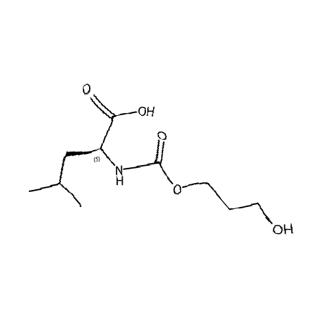 CC(C)C[C@H](NC(=O)OCCCO)C(=O)O